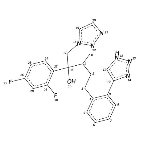 CC(CCc1ccccc1-c1c[nH]nn1)C(O)(Cn1ccnn1)c1ccc(F)cc1F